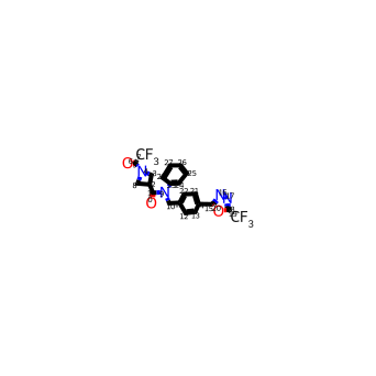 O=C(C1CN(C(=O)C(F)(F)F)C1)N(Cc1ccc(-c2nnc(C(F)(F)F)o2)cc1)c1ccccc1